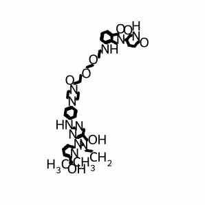 C=CCN1C(O)c2cnc(Nc3ccc(N4CCN(C(=O)CCOCCOCCNc5cccc6c5CN(C5CCC(=O)NC5=O)C6=O)CC4)cc3)nc2N1c1cccc(C(C)(C)O)n1